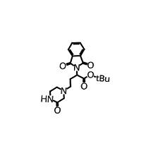 CC(C)(C)OC(=O)C(CCN1CCNC(=O)C1)N1C(=O)c2ccccc2C1=O